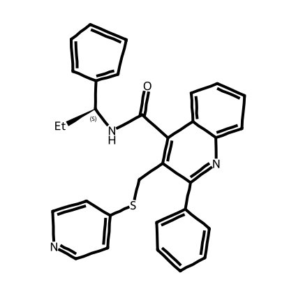 CC[C@H](NC(=O)c1c(CSc2ccncc2)c(-c2ccccc2)nc2ccccc12)c1ccccc1